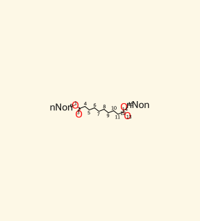 CCCCCCCCCOC(=O)CCCCCCCCC(=O)OCCCCCCCCC